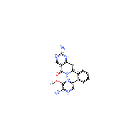 CCOc1nc(-c2ccccc2C2Cc3nc(N)ncc3C(=O)N2)cnc1N